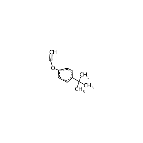 C#COc1ccc(C(C)(C)C)cc1